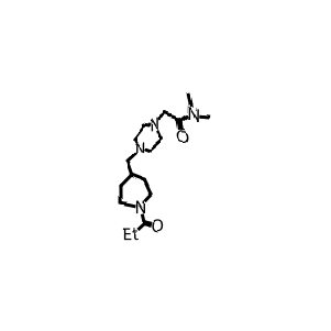 CCC(=O)N1CCC(CN2CCN(CC(=O)N(C)C)CC2)CC1